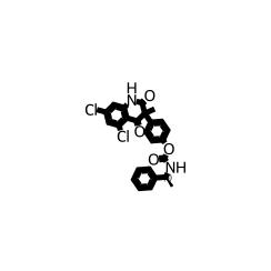 C[C@H](NC(=O)Oc1ccc(C2(C)C(=O)Nc3cc(Cl)cc(Cl)c3C2=O)cc1)c1ccccc1